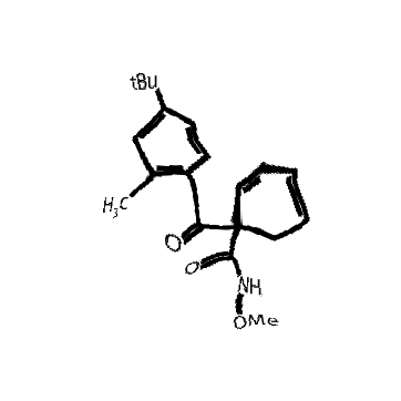 CONC(=O)C1(C(=O)c2ccc(C(C)(C)C)cc2C)C=CC=CC1